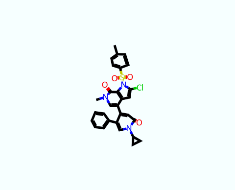 Cc1ccc(S(=O)(=O)n2c(Cl)cc3c(-c4cc(=O)n(C5CC5)cc4-c4ccccc4)cn(C)c(=O)c32)cc1